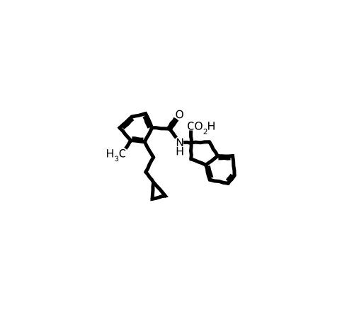 Cc1cccc(C(=O)NC2(C(=O)O)Cc3ccccc3C2)c1CCC1CC1